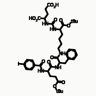 CC(C)(C)OC(=O)CCC(NC(=O)c1ccc(I)cc1)C(=O)NC(Cc1ccccc1)C(=O)NCCCCC(NC(=O)NC(CCC(=O)O)C(=O)O)C(=O)OC(C)(C)C